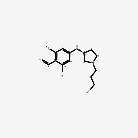 O=Cc1c(F)cc(N[C@H]2CCN(CCCF)C2)cc1F